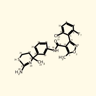 Cc1onc(-c2c(F)cccc2Cl)c1C(=O)Nc1cccc(C2(C)CCSC(N)=N2)c1